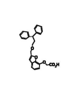 O=C(O)COc1cccc2cc(COCCC(c3ccccc3)c3ccccc3)oc12